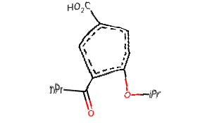 CCCC(=O)c1cc(C(=O)O)ccc1OC(C)C